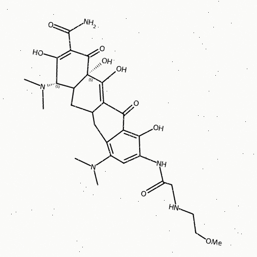 COCCNCC(=O)Nc1cc(N(C)C)c2c(c1O)C(=O)C1=C(O)[C@]3(O)C(=O)C(C(N)=O)=C(O)[C@@H](N(C)C)C3CC1C2